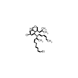 C=C/C=C\C=C\N(C(=C)/C=C\C/C=C/C=C\CC)C1=CC(Cl)=C[C@@H]2COC=C(C=C(C)C)C12